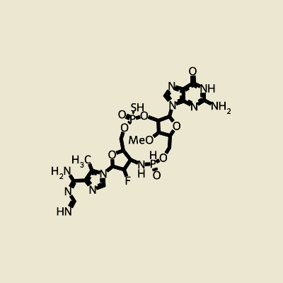 COC1C2CO[PH](=O)NC3C(CO[P@](=O)(S)OC1C(n1cnc4c(=O)[nH]c(N)nc41)O2)OC(n1cnc(/C(N)=N\C=N)c1C)C3F